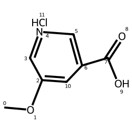 COc1cncc(C(=O)O)c1.Cl